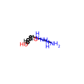 CC(CCC(=O)NCCCNCCCCNCCCN)[C@H]1CCC2C3CC[C@@H]4C[C@H](O)CC[C@]4(C)C3C[C@H](C)[C@@]21C